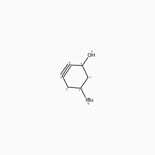 CC(C)(C)C1CC#CC(O)C1